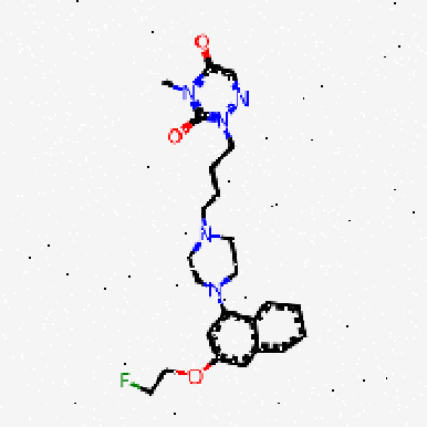 Cn1c(=O)cnn(CCCCN2CCN(c3cc(OCCF)cc4ccccc34)CC2)c1=O